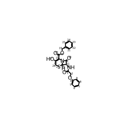 O=C(COc1ccccc1)N[C@@H]1C(=O)N2C(C(=O)OCc3ccccc3)=C(O)CS[C@@H]12